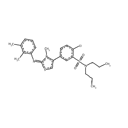 CCCN(CCC)S(=O)(=O)c1cc(-c2csc(=Nc3cccc(C)c3C)n2C)ccc1Cl